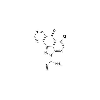 C=CC(N)n1nc2c3c(c(Cl)ccc31)C(=O)c1cnccc1-2